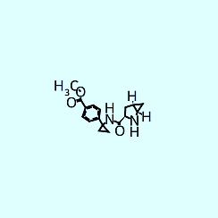 COC(=O)c1ccc(C2(NC(=O)[C@H]3C[C@H]4C[C@@H]4N3)CC2)cc1